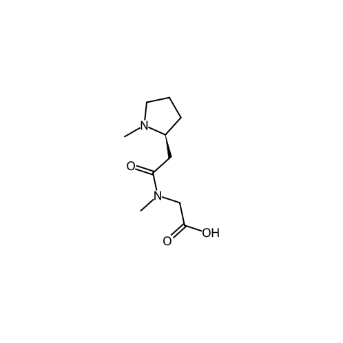 CN(CC(=O)O)C(=O)C[C@@H]1CCCN1C